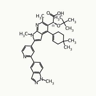 Cc1nc2c(cc(-c3ccnc(-c4ccc5c(cnn5C)c4)c3)n2C)c(C2=CCC(C)(C)CC2)c1[C@H](OC(C)(C)C)C(=O)O